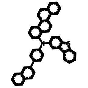 c1ccc2cc(-c3ccc(N(c4ccc5sc6ccccc6c5c4)c4cccc5c4ccc4c6ccccc6ccc54)cc3)ccc2c1